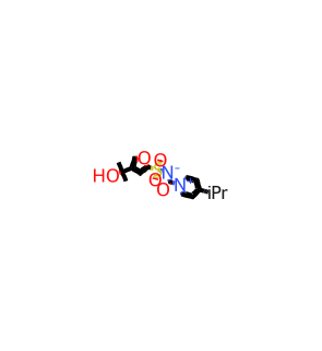 CC(C)c1cc[n+](C(=O)[N-]S(=O)(=O)c2cc(C(C)(C)O)co2)cc1